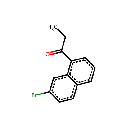 CCC(=O)c1cccc2ccc(Br)cc12